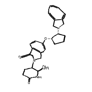 O=C1CCC(N2Cc3cc(O[C@H]4CCC[C@H]4N4Cc5ccccc5C4)ccc3C2=O)C(O)N1